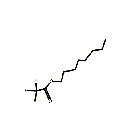 CCCCCCCCOC(=O)C(F)(F)F